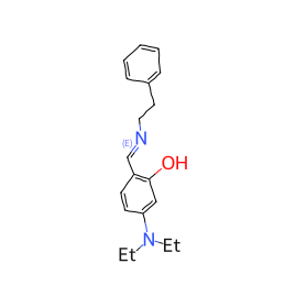 CCN(CC)c1ccc(/C=N/CCc2ccccc2)c(O)c1